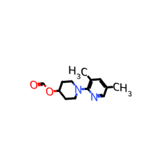 Cc1cnc(N2CCC(OC=O)CC2)c(C)c1